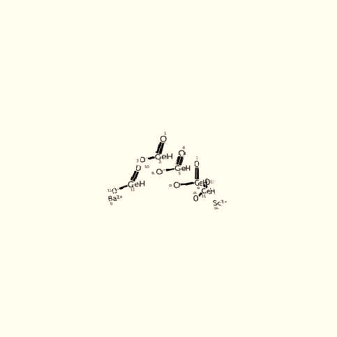 [Ba+2].[O]=[GeH][O-].[O]=[GeH][O-].[O]=[GeH][O-].[O]=[GeH][O-].[O]=[GeH][O-].[Sc+3]